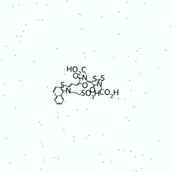 O=C(O)CN1C(=O)/C(=c2\oc(=CC=C3Sc4ccc5ccccc5c4N3CCCS(=O)(=O)O)c(=O)n2CC(=O)O)SC1=S